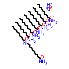 CCCCCCCCCC(N)=O.CCCCCCCCCC(N)=O.CCCCCCCCCC(N)=O.CCCCCCCCCC(N)=O.CCCCCCCCCC(N)=O.CCCCCCCCCC(N)=O.CCCCCCCCCC(N)=O.CCCCCCCCCC(N)=O.C[NH+](C)[O-]